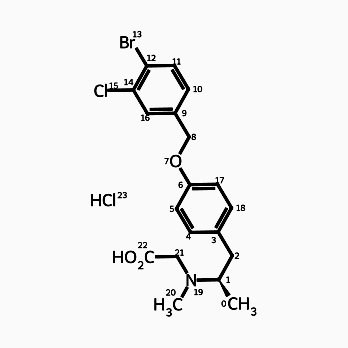 C[C@H](Cc1ccc(OCc2ccc(Br)c(Cl)c2)cc1)N(C)CC(=O)O.Cl